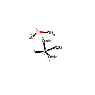 CCO[SiH3].CO[Si](C)(OC)C(C)(C)C